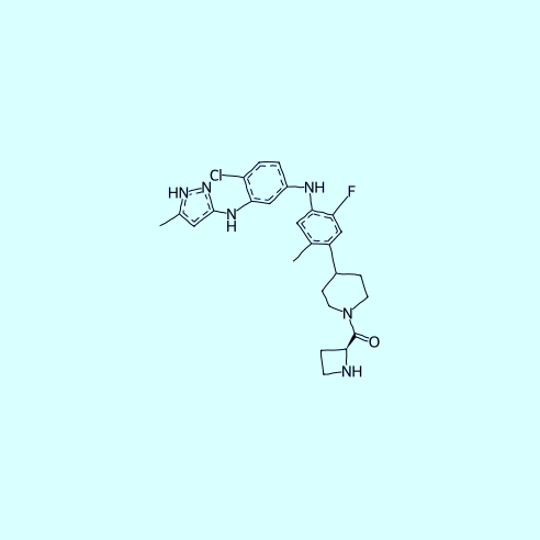 Cc1cc(Nc2cc(Nc3cc(C)c(C4CCN(C(=O)[C@@H]5CCN5)CC4)cc3F)ccc2Cl)n[nH]1